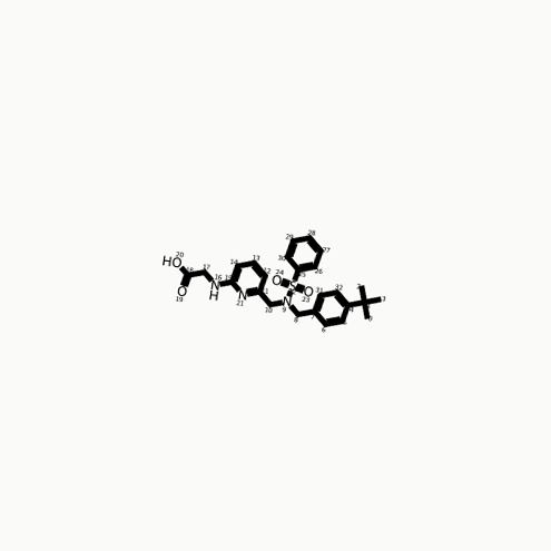 CC(C)(C)c1ccc(CN(Cc2cccc(NCC(=O)O)n2)S(=O)(=O)c2ccccc2)cc1